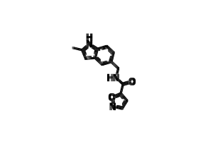 Cc1cc2cc(CNC(=O)c3ccno3)ccc2[nH]1